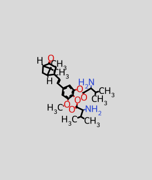 COc1cc(/C=C/C2CC(=O)[C@H]3C[C@@H]2C3(C)C)cc(OC(=O)[C@@H](N)C(C)C)c1OC(=O)[C@@H](N)C(C)C